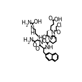 NC(=O)[C@H](CCCNC(N)O)NC(=O)C(Cc1ccc2ccccc2c1)NC(=O)[C@@H]1CCCCN1C(=O)C[C@H](CCC(=O)O)NC(=O)CCl